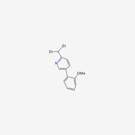 CC[C](CC)c1ccc(-c2ccccc2OC)cn1